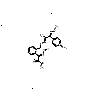 CNC(=O)/C(=N/OC)c1ccccc1CO/N=C(C)/C(=N/OC)c1ccc(C)cc1